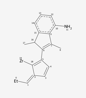 CCC=C1C=CC(C2=C(C)c3c(N)cccc3C2C)=[C]1[Zr]